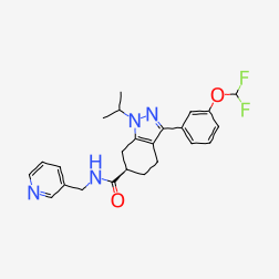 CC(C)n1nc(-c2cccc(OC(F)F)c2)c2c1C[C@H](C(=O)NCc1cccnc1)CC2